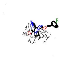 Cc1nc(-c2cnc(C)c(C(OC(C)(C)C)C(=O)O)c2N2CCC(C)(C)CC2)ncc1OCCc1ccc(F)cc1